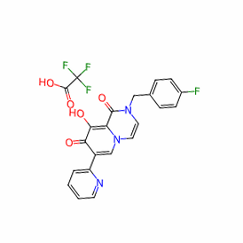 O=C(O)C(F)(F)F.O=c1c(-c2ccccn2)cn2ccn(Cc3ccc(F)cc3)c(=O)c2c1O